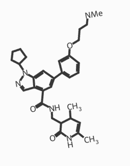 CNCCCOc1cccc(-c2cc(C(=O)NCC3C(=O)NC(C)=CC3C)c3cnn(C4CCCC4)c3c2)c1